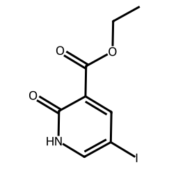 CCOC(=O)c1cc(I)c[nH]c1=O